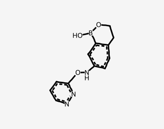 OB1OCCc2ccc(NOc3cccnn3)cc21